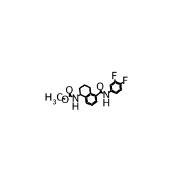 COC(=O)N[C@H]1CCCc2c(C(=O)Nc3ccc(F)c(F)c3)cccc21